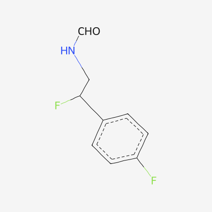 O=CNCC(F)c1ccc(F)cc1